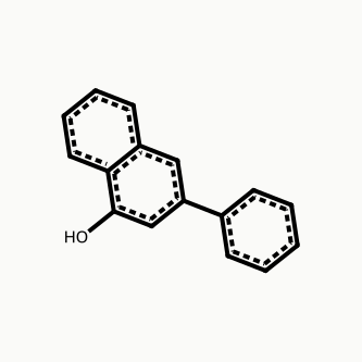 Oc1cc(-c2ccccc2)cc2ccccc12